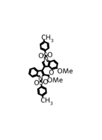 COC(=O)c1c(-c2cn(S(=O)(=O)c3ccc(C)cc3)c3ccc(OC)cc23)c2ccccc2n1S(=O)(=O)c1ccc(C)cc1